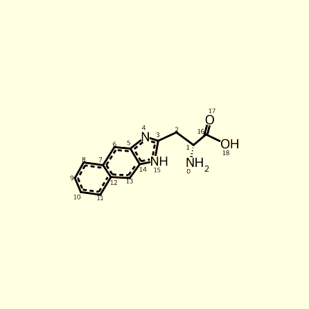 N[C@H](Cc1nc2cc3ccccc3cc2[nH]1)C(=O)O